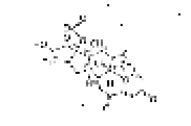 CCC(=O)O[C@]1(C(=O)CO)C(C)C[C@H]2[C@@H]3CC(=O)C4=CC(=O)C=C[C@]4(C)[C@@]3(Cl)C(Cl)C[C@@]21C